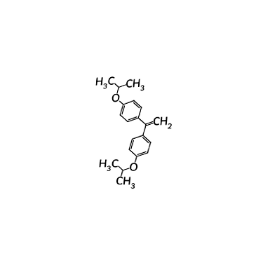 C=C(c1ccc(OC(C)C)cc1)c1ccc(OC(C)C)cc1